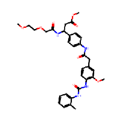 COCCOCC(=O)NC(CC(=O)OC)c1ccc(NC(=O)Cc2ccc(NC(=O)Nc3ccccc3C)c(OC)c2)cc1